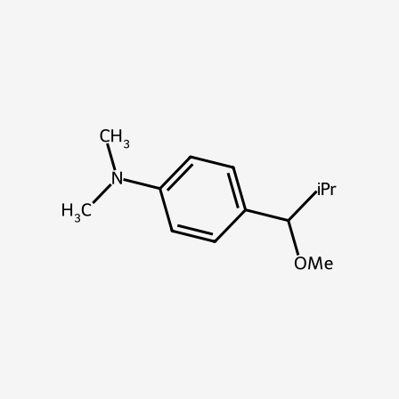 COC(c1ccc(N(C)C)cc1)C(C)C